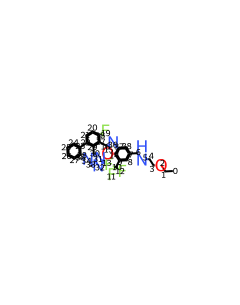 CCOCCNCc1cc(C(F)(F)F)c2oc(-c3c(F)ccc(-c4ccccc4)c3-c3nncn3C)nc2c1